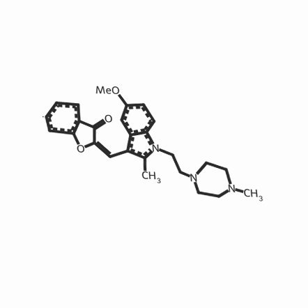 COc1ccc2c(c1)c(C=C1Oc3c[c]ccc3C1=O)c(C)n2CCN1CCN(C)CC1